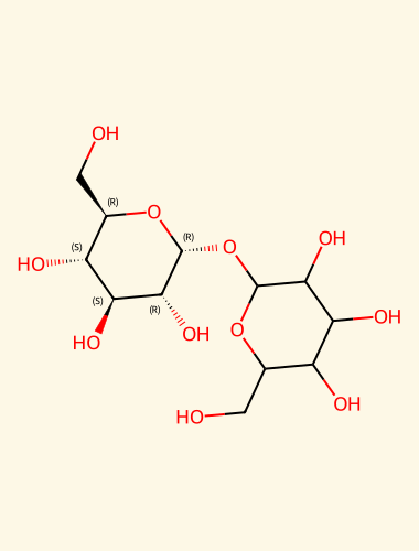 OCC1OC(O[C@H]2O[C@H](CO)[C@@H](O)[C@H](O)[C@H]2O)C(O)C(O)C1O